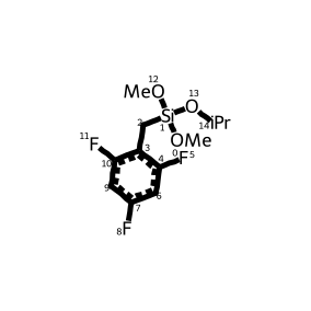 CO[Si](Cc1c(F)cc(F)cc1F)(OC)OC(C)C